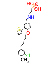 Cc1ccc(CCCCCOc2ccc(CNCCCP(=O)(O)O)cc2-c2cccs2)cc1Cl